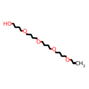 C=CCOCCCCOCCCCOCCCCOCCCCO